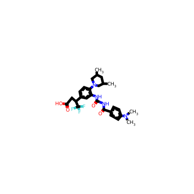 CC1CC(C)CN(c2ccc(C(CC(=O)O)C(F)(F)F)cc2NC(=O)NC(=O)c2ccc(N(C)C)cc2)C1